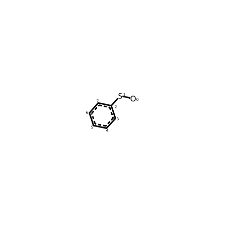 [O]Sc1ccccc1